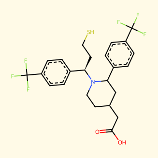 O=C(O)CC1CCN([C@H](CCS)c2ccc(C(F)(F)F)cc2)C(c2ccc(C(F)(F)F)cc2)C1